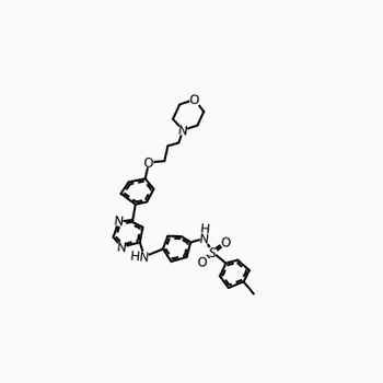 Cc1ccc(S(=O)(=O)Nc2ccc(Nc3cc(-c4ccc(OCCCN5CCOCC5)cc4)ncn3)cc2)cc1